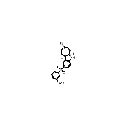 CCN1CC[C@@H]2c3cc(S(=O)(=O)c4cccc(OC)c4)ccc3N[C@@H]2CC1